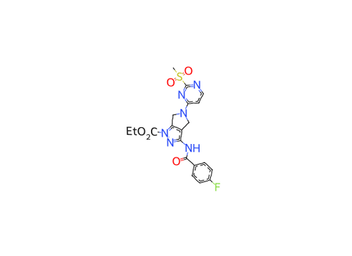 CCOC(=O)n1nc(NC(=O)c2ccc(F)cc2)c2c1CN(c1ccnc(S(C)(=O)=O)n1)C2